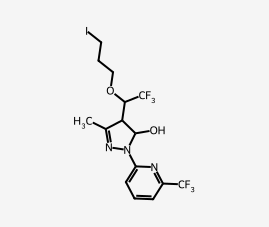 CC1=NN(c2cccc(C(F)(F)F)n2)C(O)C1C(OCCCI)C(F)(F)F